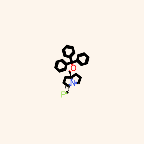 FC[C@@H]1CC[C@]2(COC(c3ccccc3)(c3ccccc3)c3ccccc3)CCCN12